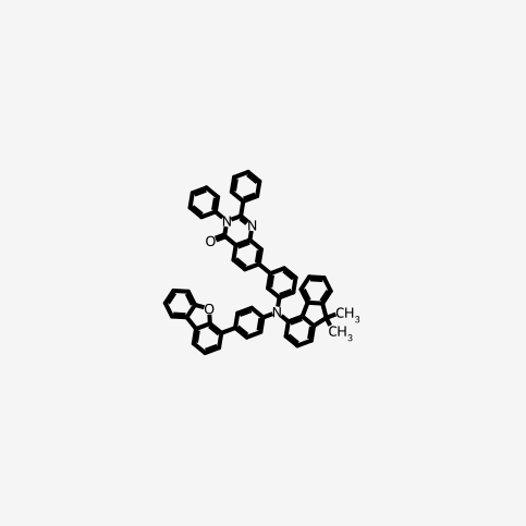 CC1(C)c2ccccc2-c2c(N(c3ccc(-c4cccc5c4oc4ccccc45)cc3)c3cccc(-c4ccc5c(=O)n(-c6ccccc6)c(-c6ccccc6)nc5c4)c3)cccc21